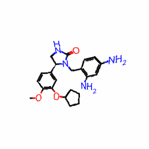 COc1ccc([C@H]2CNC(=O)N2Cc2ccc(N)cc2N)cc1OC1CCCC1